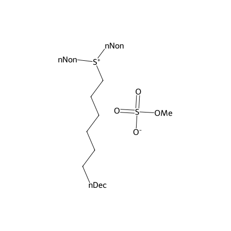 CCCCCCCCCCCCCCCC[S+](CCCCCCCCC)CCCCCCCCC.COS(=O)(=O)[O-]